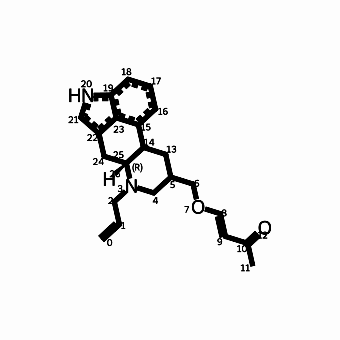 C=CCN1CC(COC=CC(C)=O)CC2c3cccc4[nH]cc(c34)C[C@H]21